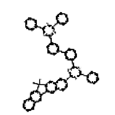 CC1(C)c2cc3ccccc3cc2-c2cc3ccc(-c4nc(-c5ccccc5)nc(-c5cccc(-c6cccc(-c7nc(-c8ccccc8)nc(-c8ccccc8)n7)c6)c5)n4)cc3cc21